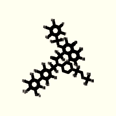 [2H]c1c([2H])c(F)c(F)c(C([2H])([2H])Sc2c([2H])c(=O)c3c([2H])c([2H])c([2H])c([2H])c3n2C([2H])([2H])C(=O)N(C2CCN(C([2H])([2H])COC([2H])([2H])[2H])CC2)C([2H])([2H])c2c([2H])c([2H])c(-c3c([2H])c([2H])c(C(F)(F)F)c(C)c3[2H])c([2H])c2[2H])c1[2H]